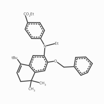 CCOC(=O)c1ccc(N(CC)c2cc3c(cc2OCc2ccccc2)C(C)(C)CC=C3C(C)(C)C)cc1